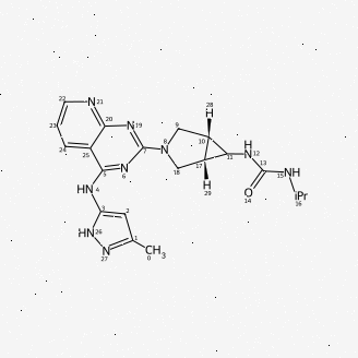 Cc1cc(Nc2nc(N3C[C@@H]4C(NC(=O)NC(C)C)[C@@H]4C3)nc3ncccc23)[nH]n1